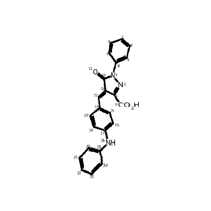 O=C(O)C1=NN(c2ccccc2)C(=O)/C1=C/c1ccc(Nc2ccccc2)cc1